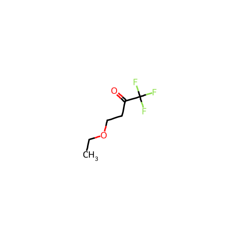 CCOCCC(=O)C(F)(F)F